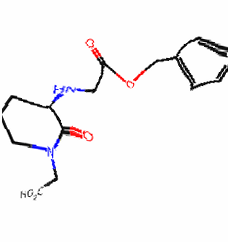 O=C(O)CN1CCC[C@@H](NCC(=O)OCc2ccccc2)C1=O